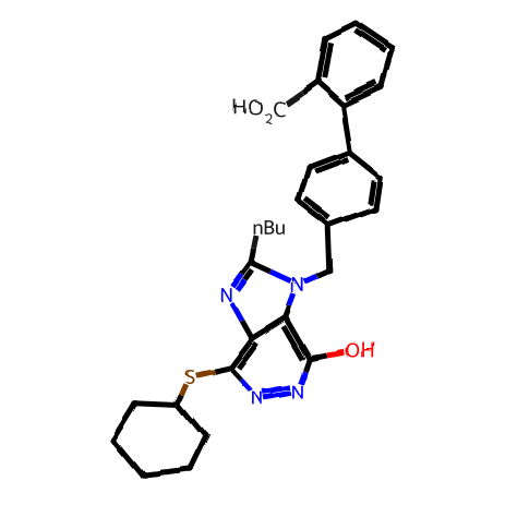 CCCCc1nc2c(SC3CCCCC3)nnc(O)c2n1Cc1ccc(-c2ccccc2C(=O)O)cc1